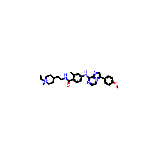 CC[N+]1(C)CCC(CCNC(=O)c2ccc(Nc3nccn4c(-c5ccc(OC)cc5)cnc34)cc2C)CC1